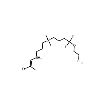 CCC(C)=C[SiH2]CCC[Si](C)(C)CCCC(F)(F)OCCC(F)(F)F